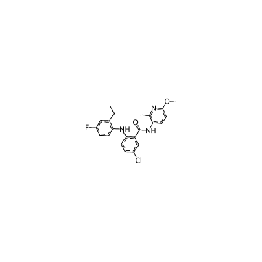 CCc1cc(F)ccc1Nc1ccc(Cl)cc1C(=O)Nc1ccc(OC)nc1C